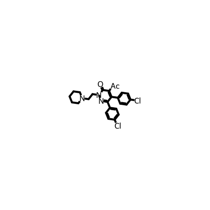 CC(=O)c1c(-c2ccc(Cl)cc2)c(-c2ccc(Cl)cc2)nn(CCN2CCCCC2)c1=O